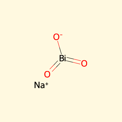 [Na+].[O]=[Bi](=[O])[O-]